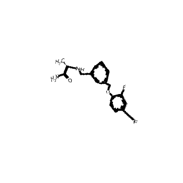 C[C@H](NCc1cccc(COc2ccc(F)cc2F)c1)C(N)=O